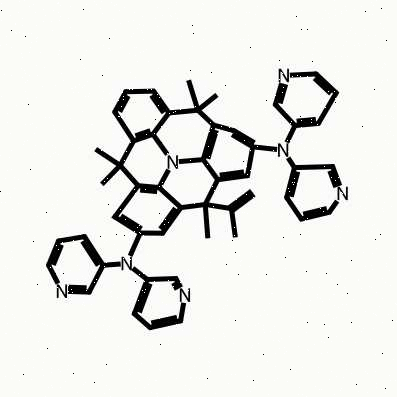 C=C(C)C1(C)c2cc(N(c3cccnc3)c3cccnc3)cc3c2N2c4c(cccc4C(C)(C)c4cc(N(c5cccnc5)c5cccnc5)cc1c42)C3(C)C